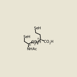 CC(=O)N[C@@H](C[SeH])C(=O)O.N[C@@H](CC[SeH])C(=O)O